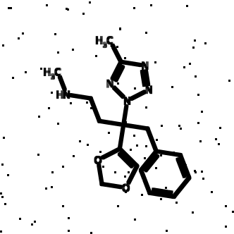 CNCCC(Cc1ccccc1)(C1=COCO1)n1nnc(C)n1